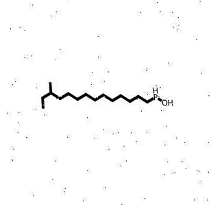 CCC(C)CCCCCCCCCCCPO